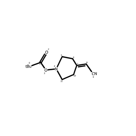 CC(C)(C)C(=O)ON1CCC(=CC#N)CC1